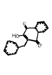 O=C1C(O)=C(Cc2ccccc2)C(=O)c2ccccc21